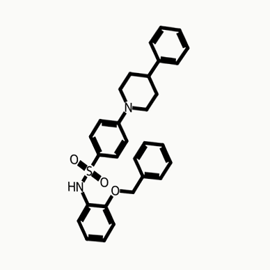 O=S(=O)(Nc1ccccc1OCc1ccccc1)c1ccc(N2CCC(c3ccccc3)CC2)cc1